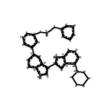 c1ccc(CNCc2cncc(-c3ccc4[nH]nc(-c5cc6c(N7CCCCC7)cncc6[nH]5)c4c3)c2)cc1